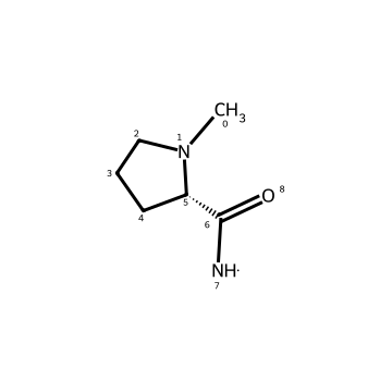 CN1CCC[C@H]1C([NH])=O